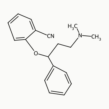 CN(C)CCC(Oc1ccccc1C#N)c1ccccc1